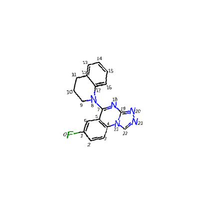 Fc1ccc2c(c1)c(N1CCCc3ccccc31)nc1nncn12